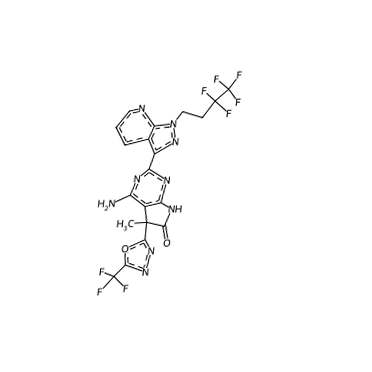 CC1(c2nnc(C(F)(F)F)o2)C(=O)Nc2nc(-c3nn(CCC(F)(F)C(F)(F)F)c4ncccc34)nc(N)c21